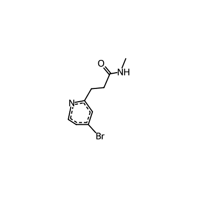 CNC(=O)CCc1cc(Br)ccn1